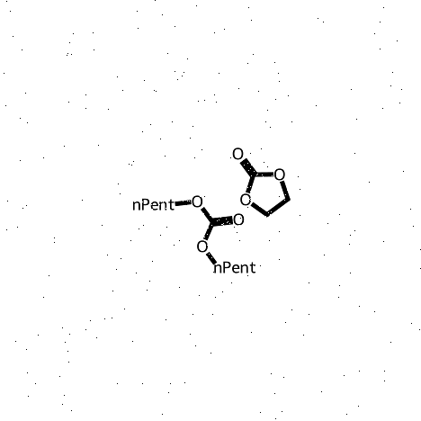 CCCCCOC(=O)OCCCCC.O=C1OCCO1